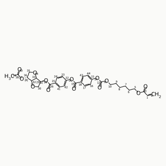 C=CC(=O)OCCCCCCOC(=O)Oc1ccc(C(=O)Oc2ccc(C(=O)O[C@H]3COC4C3OC[C@H]4OC(C)=O)cc2)cc1